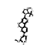 COc1cc(-c2ccc3c(c2)COc2cc(N4CCC(N)C4C(C)(C)C)ncc2-3)cnn1